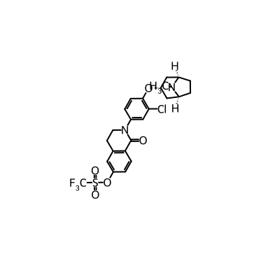 CN1[C@@H]2CC[C@H]1C[C@H](Oc1ccc(N3CCc4cc(OS(=O)(=O)C(F)(F)F)ccc4C3=O)cc1Cl)C2